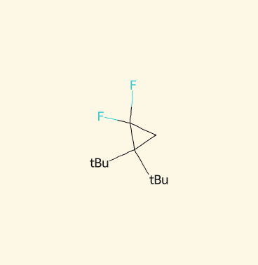 CC(C)(C)C1(C(C)(C)C)CC1(F)F